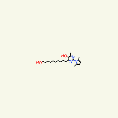 Cc1nc(-n2c(C)ccc2C)nc(CCCCCCCCCCO)c1O